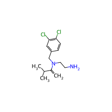 C=C(C(C)C)N(CCN)Cc1ccc(Cl)c(Cl)c1